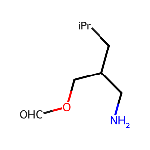 CC(C)CC(CN)COC=O